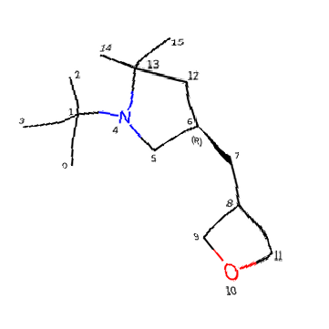 CC(C)(C)N1C[C@H](CC2COC2)CC1(C)C